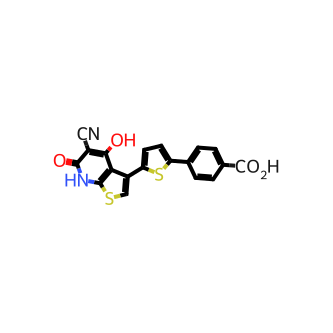 N#Cc1c(O)c2c(-c3ccc(-c4ccc(C(=O)O)cc4)s3)csc2[nH]c1=O